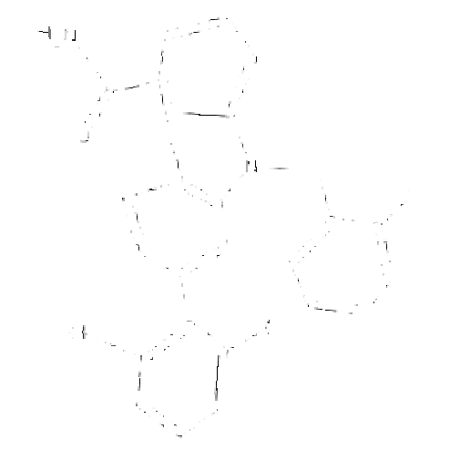 NC(=O)c1cccc2c1c1[c]cc(-c3c(Cl)cccc3Cl)cc1n2Cc1ccccc1Cl